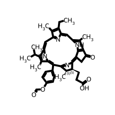 CCC1=C(C)c2cc3[nH]c(c(C)c3C(C)C)c(-c3ccc(OC=O)cc3)c3nc(c4c5[nH]c(cc1n2)c(C)c5C(=O)C4)[C@@H](CCC(=O)O)[C@@H]3C